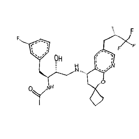 CC(=O)N[C@@H](Cc1cccc(F)c1)[C@H](O)CN[C@H]1CC2(CCC2)Oc2ncc(C[C@H](C)C(F)(F)F)cc21